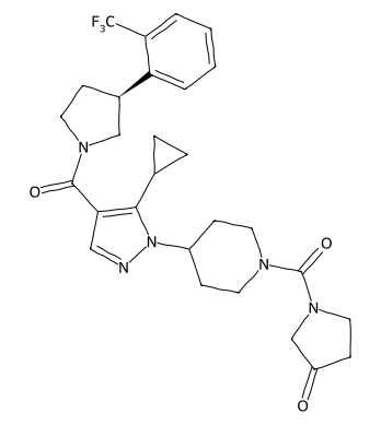 O=C1CCN(C(=O)N2CCC(n3ncc(C(=O)N4CC[C@@H](c5ccccc5C(F)(F)F)C4)c3C3CC3)CC2)C1